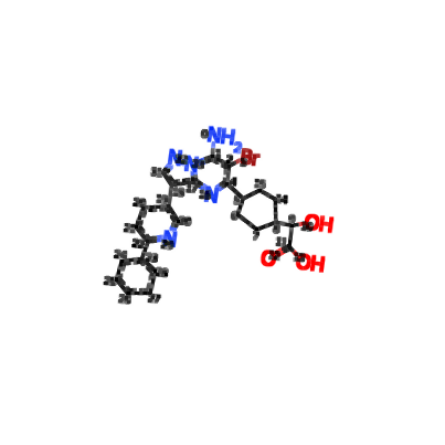 Nc1c(Br)c(C2CCC(C(O)C(=O)O)CC2)nc2c(-c3ccc(-c4ccccc4)nc3)cnn12